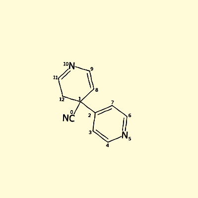 N#CC1(c2ccncc2)C=CN=CC1